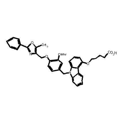 COc1cc(Cn2c3ccccc3c3c(OCCCCC(=O)O)cccc32)ccc1OCc1nc(-c2ccccc2)oc1C